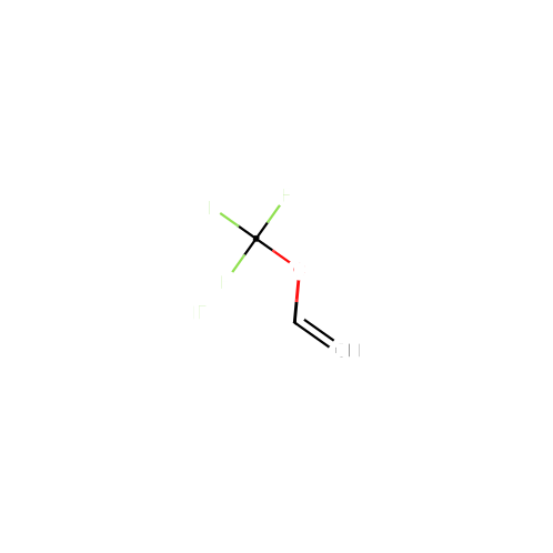 C=COC(F)(F)F.F